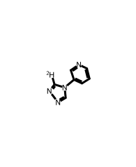 [2H]c1nncn1-c1cccnc1